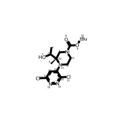 CC(O)[C@]1(C)CN(C(=O)OC(C)(C)C)CCN1c1cc(Cl)nnc1Cl